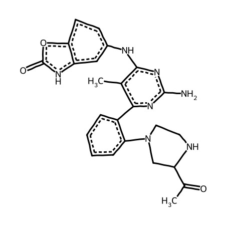 CC(=O)C1CN(c2ccccc2-c2nc(N)nc(Nc3ccc4oc(=O)[nH]c4c3)c2C)CCN1